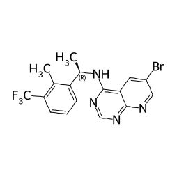 Cc1c([C@@H](C)Nc2ncnc3ncc(Br)cc23)cccc1C(F)(F)F